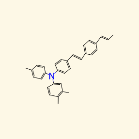 CC=Cc1ccc(C=Cc2ccc(N(c3ccc(C)cc3)c3ccc(C)c(C)c3)cc2)cc1